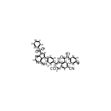 CCN(C(=O)c1cc(C#N)cnc1N[C@H](CC(=O)O)c1ccc(-c2cn(S(=O)(=O)c3ccccc3)c3ncnc(N)c23)cc1)c1ccc(F)cc1